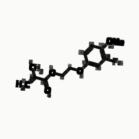 C=C(C)C(=O)OCCOc1ccc(OC)c(F)c1